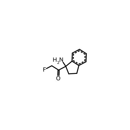 NC1(C(=O)CF)CCc2ccccc21